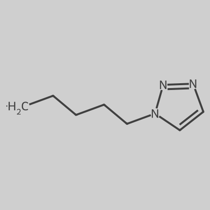 [CH2]CCCCn1ccnn1